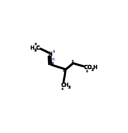 C/N=C/C(C)CC(=O)O